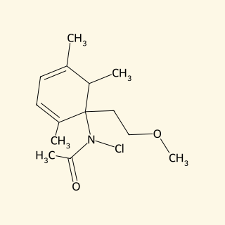 COCCC1(N(Cl)C(C)=O)C(C)=CC=C(C)C1C